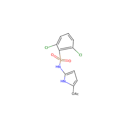 CC(=O)Oc1ccc(NS(=O)(=O)c2c(Cl)cccc2Cl)[nH]1